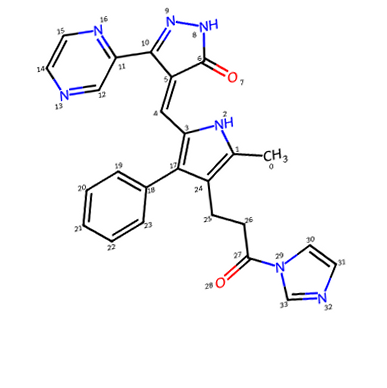 Cc1[nH]c(C=C2C(=O)NN=C2c2cnccn2)c(-c2ccccc2)c1CCC(=O)n1ccnc1